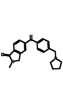 CN1Cc2cc(Nc3ccc(CN4CCCC4)cc3)ccc2C1=O